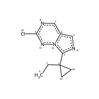 CCC1(c2ncc3cnc(Cl)nn23)CC1